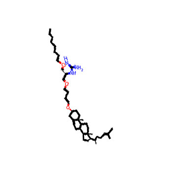 CCCCCCCCOC[C@@H](COCCCCO[C@H]1CC[C@@]2(C)C(=CCC3C2CC[C@@]2(C)C3CC[C@@H]2[C@H](C)CCCC(C)C)C1)NC(=N)N